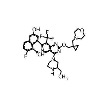 C#Cc1c(F)ccc2cc(O)cc(-c3ncc4c(N5CCNC(CC)C5)nc(OCC5(CN6CCOCC6)CC5)nc4c3C(F)(F)F)c12